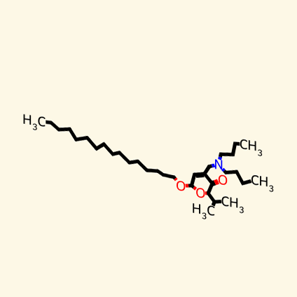 CCCCCCCCCCCCCCCCOC1C=C(CN(CCCC)CCCC)C(=O)C(C(C)C)O1